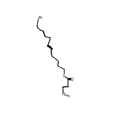 CCCCCCCCCCCCC(=O)OCCCCCCCCCCC(C)C